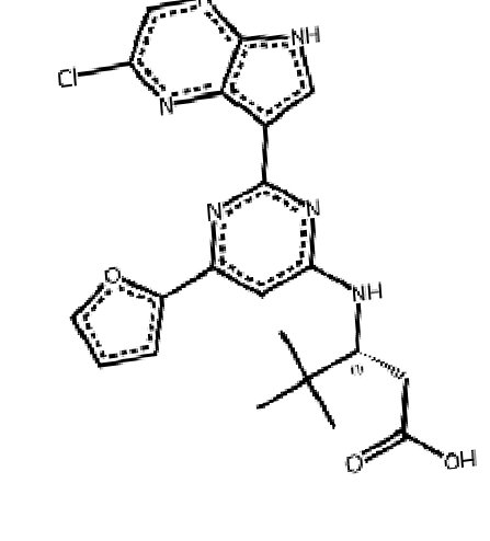 CC(C)(C)[C@@H](CC(=O)O)Nc1cc(-c2ccco2)nc(-c2c[nH]c3ncc(Cl)nc23)n1